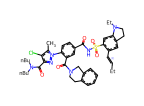 CC/C=C/c1cc2c(cc1S(=O)(=O)NC(=O)c1ccc(-n3nc(C(=O)N(CCCC)CCCC)c(Cl)c3C)c(C(=O)N3CCc4ccccc4C3)c1)N(CC)CC2